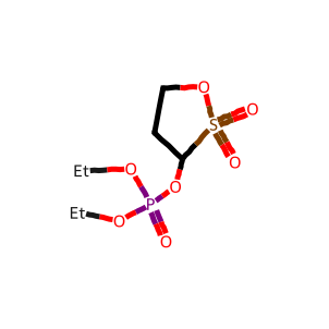 CCOP(=O)(OCC)OC1CCOS1(=O)=O